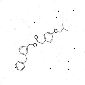 CC(C)COc1ccc(CC(=O)OCc2cccc(Cc3ccccc3)c2)cc1